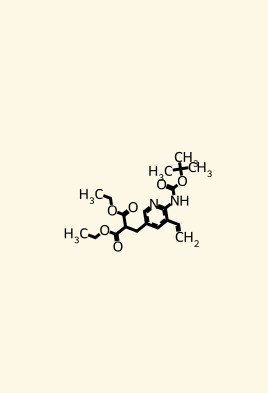 C=Cc1cc(CC(C(=O)OCC)C(=O)OCC)cnc1NC(=O)OC(C)(C)C